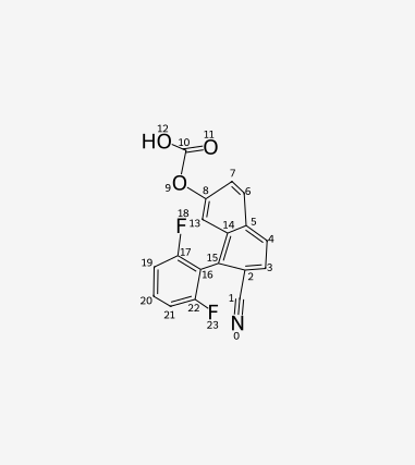 N#Cc1ccc2ccc(OC(=O)O)cc2c1-c1c(F)cccc1F